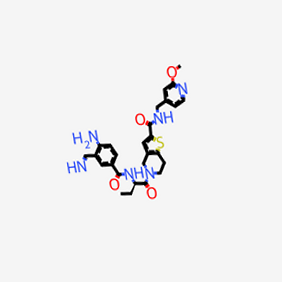 CC[C@@H](NC(=O)c1ccc(N)c(C=N)c1)C(=O)N1CCc2sc(C(=O)NCc3ccnc(OC)c3)cc2C1